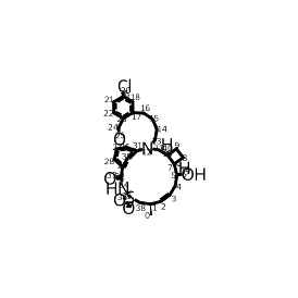 C[C@@H]1/C=C\CC(O)[C@@H]2CC[C@H]2CN2CCCCc3cc(Cl)ccc3COc3ccc(cc32)C(=O)NS(=O)(=O)C1